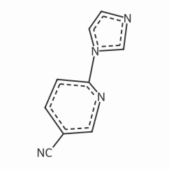 N#Cc1ccc(-n2ccnc2)nc1